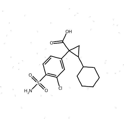 NS(=O)(=O)c1ccc(C2(C(=O)O)CC2C2CCCCC2)cc1Cl